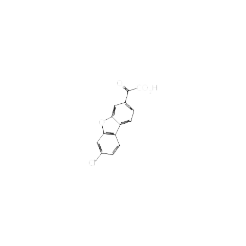 O=C(O)C(=O)c1ccc2c(c1)oc1cc(Cl)ccc12